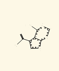 NC(=O)c1c[nH]c2ncnc(N)c12